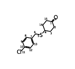 O=C1CCC(SCc2ccc(Cl)cc2)CC1